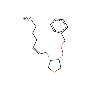 O=C(O)CCC/C=C\C[C@H]1CSC[C@H]1COCc1ccccc1